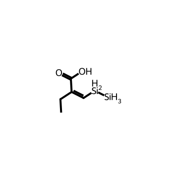 CCC(=C[SiH2][SiH3])C(=O)O